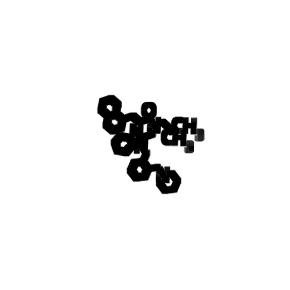 CC(C)CN(Cc1nc2ccccc2n1Cc1ccccc1CN1CCCCC1)C(=O)C=Cc1cccc2ccccc12